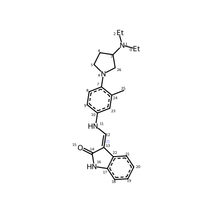 CCN(CC)C1CCN(c2ccc(N/C=C3\C(=O)Nc4ccccc43)cc2C)C1